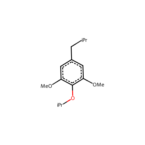 COc1cc(CC(C)C)cc(OC)c1OC(C)C